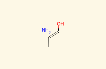 CC=CO.N